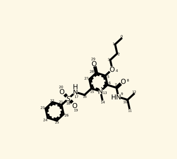 CCCCOc1c(C(=O)NC(C)C)n(C)c(CNS(=O)(=O)c2ccccc2)cc1=O